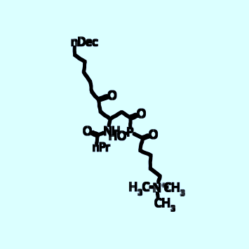 CCCCCCCCCCCCCCCC(=O)CC(CC(=O)P(O)C(=O)CCCC[N+](C)(C)C)NC(=O)CCC